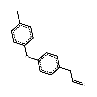 O=CCc1ccc(Oc2ccc(I)cc2)cc1